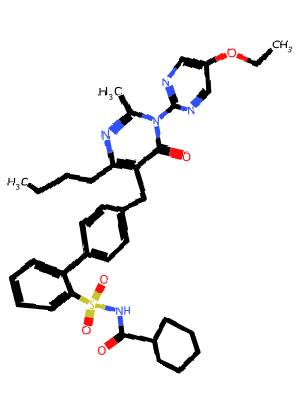 CCCCc1nc(C)n(-c2ncc(OCC)cn2)c(=O)c1Cc1ccc(-c2ccccc2S(=O)(=O)NC(=O)C2CCCCC2)cc1